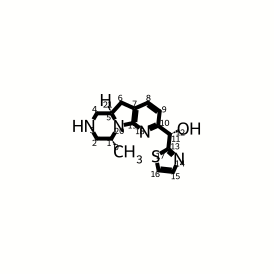 C[C@@H]1CNC[C@H]2Cc3ccc([C@H](O)c4nccs4)nc3N21